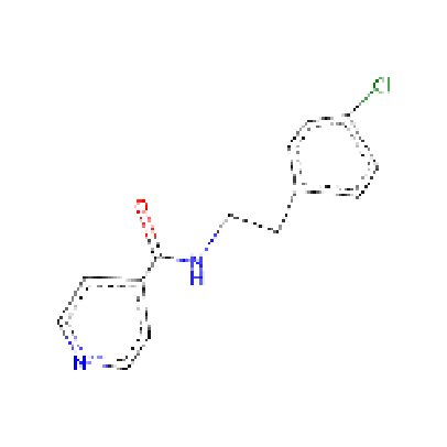 O=C(NCCc1ccc(Cl)cc1)c1ccncc1